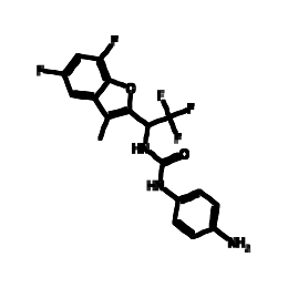 Cc1c(C(NC(=O)Nc2ccc(N)cc2)C(F)(F)F)oc2c(F)cc(F)cc12